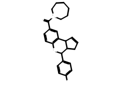 O=C(c1ccc2c(c1)C1C=CCC1C(c1ccc(Br)cc1)N2)N1CCCCCC1